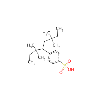 CCC(C)(C)CC(c1ccc(S(=O)(=O)O)cc1)C(C)(C)CC